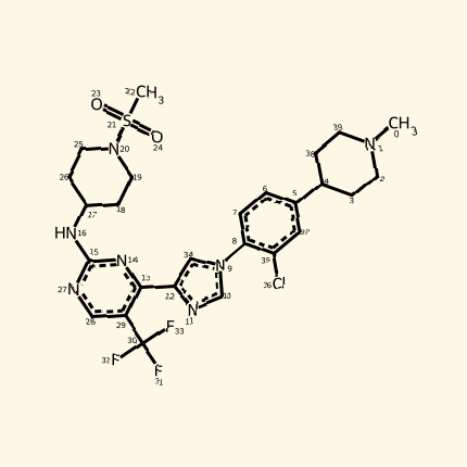 CN1CCC(c2ccc(-n3cnc(-c4nc(NC5CCN(S(C)(=O)=O)CC5)ncc4C(F)(F)F)c3)c(Cl)c2)CC1